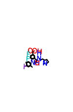 Cc1cc(I)ccc1Nc1c(C(=O)NCCC2CCCN2C)cc(C(=O)O)c(F)c1F